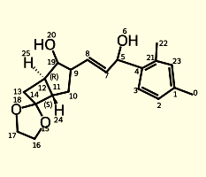 Cc1ccc(C(O)C=CC2C[C@H]3[C@@H](CC34OCCO4)C2O)c(C)c1